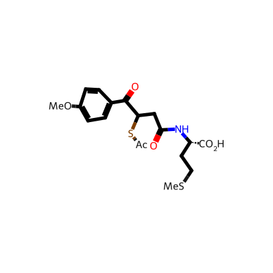 COc1ccc(C(=O)C(CC(=O)N[C@@H](CCSC)C(=O)O)SC(C)=O)cc1